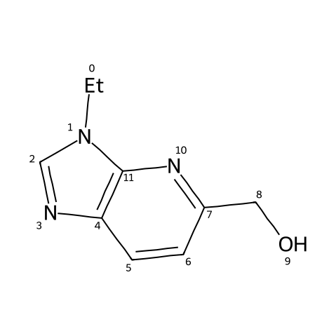 CCn1cnc2ccc(CO)nc21